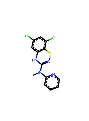 CN(C1=NSc2c(Cl)cc(Cl)cc2N1)c1ccccn1